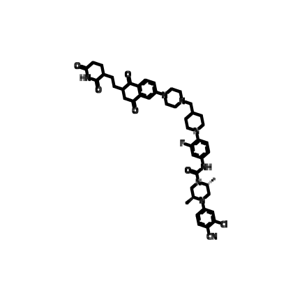 C[C@@H]1CN(c2ccc(C#N)c(Cl)c2)[C@@H](C)CN1C(=O)Nc1ccc(N2CCC(CN3CCN(c4ccc5c(c4)C(=O)CC(CCC4CCC(=O)NC4=O)C5=O)CC3)CC2)c(F)c1